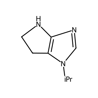 CC(C)n1cnc2c1CCN2